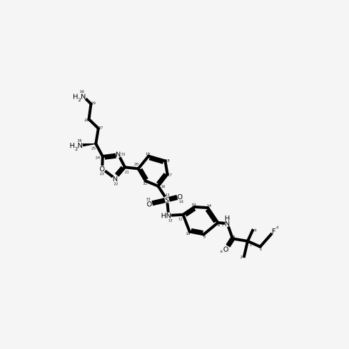 CC(C)(CF)C(=O)Nc1ccc(NS(=O)(=O)c2cccc(-c3noc([C@@H](N)CCCN)n3)c2)cc1